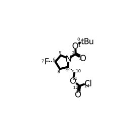 CC(C)(C)OC(=O)N1C[C@@H](F)C[C@H]1COC(=O)Cl